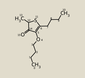 CCCCOC1=C(CCCC)SC(C)C1=O